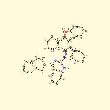 c1ccc2cc(-c3nc(-n4c5ccccc5c5c6c7ccccc7oc6c6ccccc6c54)nc4ccccc34)ccc2c1